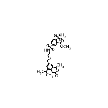 COC(=O)c1cc(S(=O)(=O)NCCOCc2cc(C(C)C)c3c(c2)C(C)OC(=O)C3)ccc1S(N)(=O)=O